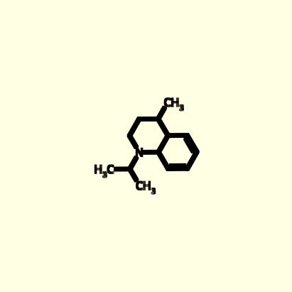 CC1CCN(C(C)C)C2C=CC=CC12